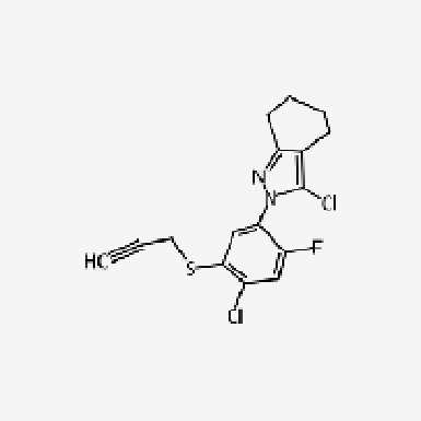 C#CCSc1cc(-n2nc3c(c2Cl)CCCC3)c(F)cc1Cl